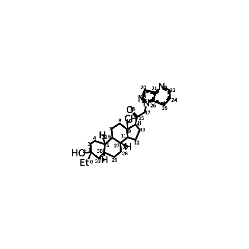 CC[C@@]1(O)CC[C@@H]2C3CC[C@@]4(C)C(CC[C@@H]4C(=O)Cn4ncc5ncccc54)[C@@H]3CC[C@@H]2C1